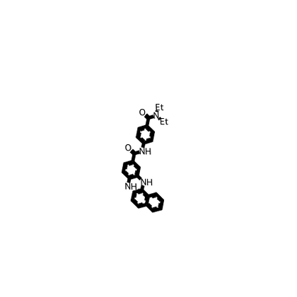 CCN(CC)C(=O)c1ccc(NC(=O)c2ccc(N)c(Nc3cccc4ccccc34)c2)cc1